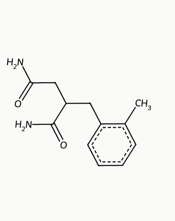 Cc1ccccc1CC(CC(N)=O)C(N)=O